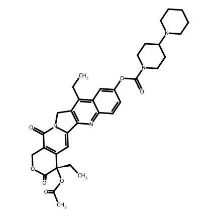 CCc1c2c(nc3ccc(OC(=O)N4CCC(N5CCCCC5)CC4)cc13)-c1cc3c(c(=O)n1C2)COC(=O)[C@@]3(CC)OC(C)=O